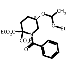 CCOC(=O)C1(C(=O)OCC)CC[C@H](OC(C)OCC)CN1C(=O)c1ccccc1